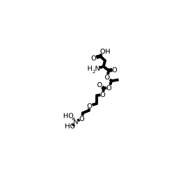 CC(OC(=O)OCCOCCON(O)O)OC(=O)C(N)CC(=O)O